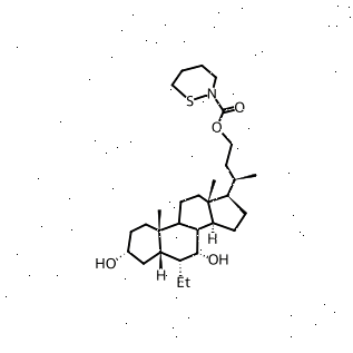 CC[C@H]1[C@@H](O)C2C(CC[C@]3(C)[C@@H]([C@H](C)CCOC(=O)N4CCCCS4)CC[C@@H]23)[C@@]2(C)CC[C@@H](O)C[C@@H]12